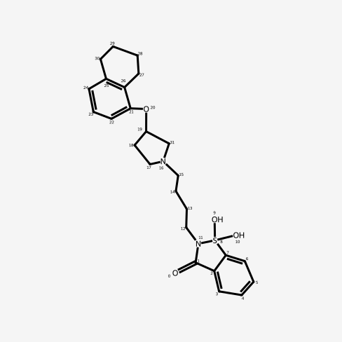 O=C1c2ccccc2S(O)(O)N1CCCCN1CCC(Oc2cccc3c2CCCC3)C1